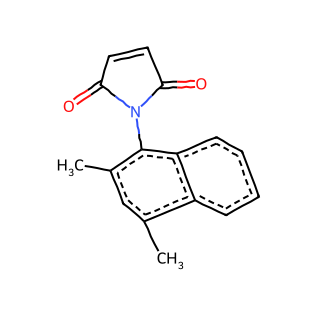 Cc1cc(C)c2ccccc2c1N1C(=O)C=CC1=O